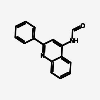 O=CNc1cc(-c2ccccc2)nc2ccccc12